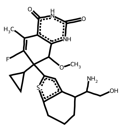 COC1c2[nH]c(=O)[nH]c(=O)c2C(C)=C(F)C1(c1cc2c(s1)CCCC2C(N)CO)C1CC1